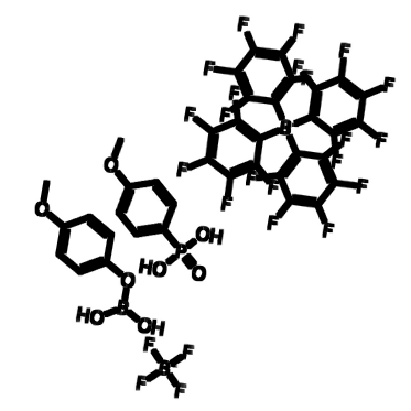 COc1ccc(OB(O)O)cc1.COc1ccc(P(=O)(O)O)cc1.F[B-](F)(F)F.Fc1c(F)c(F)c([B-](c2c(F)c(F)c(F)c(F)c2F)(c2c(F)c(F)c(F)c(F)c2F)c2c(F)c(F)c(F)c(F)c2F)c(F)c1F